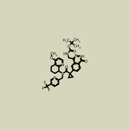 COc1ccnc2c1CCCC2N(Cc1ccc(C(F)(F)F)cn1)C(=O)C1(c2ccc3c(=O)[nH]nc(CNC(=O)OC(C)(C)C)c3c2)CC1